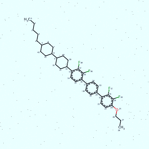 CCCCCC1CCC(C2CCC(c3ccc(-c4ccc(-c5ccc(OCCC)c(F)c5F)cc4)c(F)c3F)CC2)CC1